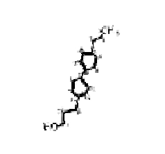 CCCc1ccc(-c2ccc(CCCO)cc2)cc1